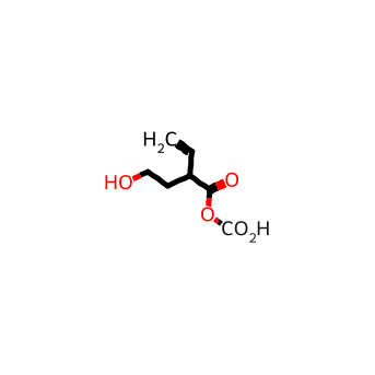 C=CC(CCO)C(=O)OC(=O)O